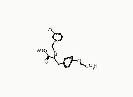 COC(=O)C(Cc1ccc(OCC(=O)O)cc1)OCc1cccc(Cl)c1